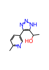 Cc1ccc(-c2nn[nH]c2C(C)O)cn1